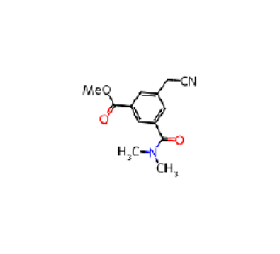 COC(=O)c1cc(CC#N)cc(C(=O)N(C)C)c1